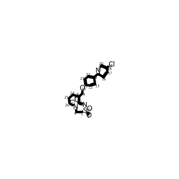 O=S1(=O)CCN2C(=N1)C1(COc3ccc(-c4ccc(Cl)cn4)cc3)CCC2CC1